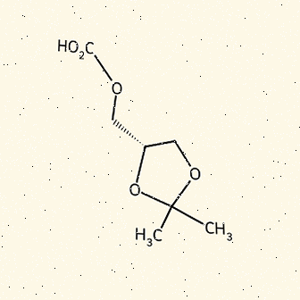 CC1(C)OC[C@@H](COC(=O)O)O1